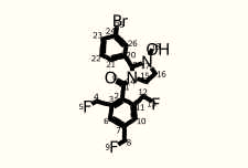 O=C(c1c(CF)cc(CF)cc1CF)N1CCN(O)C1c1cccc(Br)c1